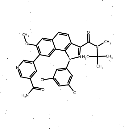 COc1cc2ccc3c(C(=O)N(C)C(C)(C)C)nn(-c4cc(Cl)cc(Cl)c4)c3c2cc1-c1cncc(C(N)=O)c1